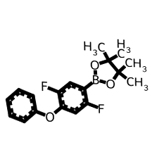 CC1(C)OB(c2cc(F)c(Oc3ccccc3)cc2F)OC1(C)C